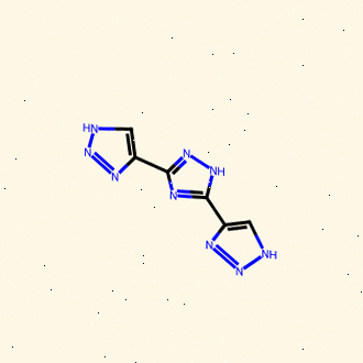 c1[nH]nnc1-c1n[nH]c(-c2c[nH]nn2)n1